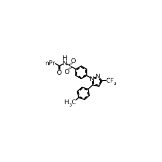 CCCC(=O)NS(=O)(=O)c1ccc(-n2nc(C(F)(F)F)cc2-c2ccc(C)cc2)cc1